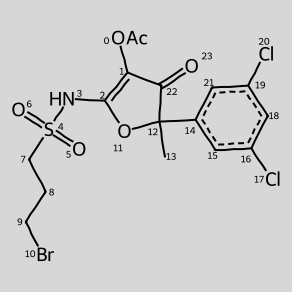 CC(=O)OC1=C(NS(=O)(=O)CCCBr)OC(C)(c2cc(Cl)cc(Cl)c2)C1=O